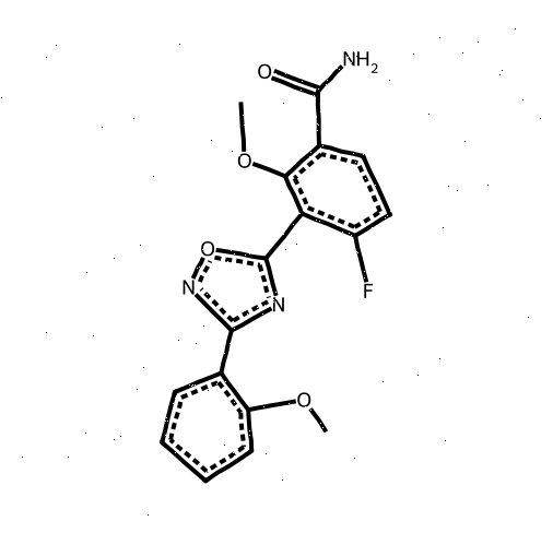 COc1ccccc1-c1noc(-c2c(F)ccc(C(N)=O)c2OC)n1